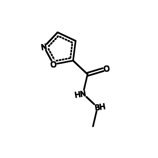 CBNC(=O)c1ccno1